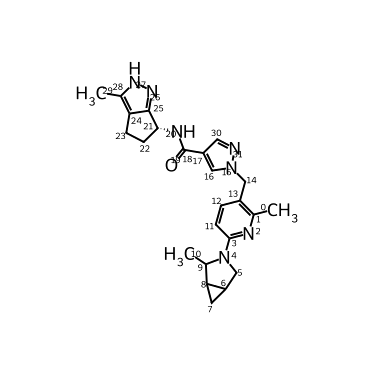 Cc1nc(N2CC3CC3C2C)ccc1Cn1cc(C(=O)N[C@@H]2CCc3c2n[nH]c3C)cn1